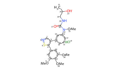 COc1cc(-c2sncc2-c2cccc(N(OC)C(=O)NCC(C)O)c2)cc(OC)c1OC.Cl